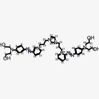 OCCN(CCO)c1ccc(/N=N/c2ccc[n+](CCC[n+]3ccn(CCC[n+]4ccccc4/N=N/c4ccc(N(CCO)CCO)cc4)c3)c2)cc1